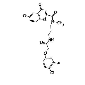 CN(CCCNC(=O)COc1ccc(Cl)c(F)c1)C(=O)c1cc(=O)c2cc(Cl)ccc2o1